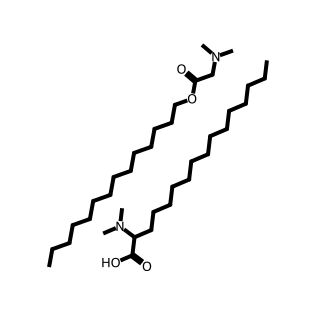 CCCCCCCCCCCCCCC(C(=O)O)N(C)C.CCCCCCCCCCCCCCOC(=O)CN(C)C